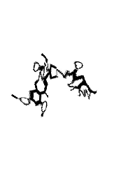 CCN1C(=O)N2Cc3cc(OC)cc(OC)c3[C@H](C)C=C2C12CCN(C(=O)c1cc3c(C)nn(C)c3s1)CC2